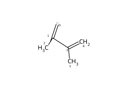 [C]=C(C)C(=C)C